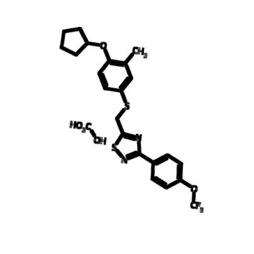 Cc1cc(SCc2nc(-c3ccc(OC(F)(F)F)cc3)ns2)ccc1OC1CCCC1.O=C(O)O